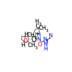 C[C@@H]1[C@H](c2ccc(NC(=O)c3nc(C#N)c[nH]3)c(C3=CCC(C)(C)CC3)c2)[C@H](C)C[C@@H]2CC[C@H]1O2